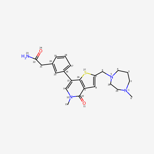 CN1CCCN(Cc2cc3c(=O)n(C)cc(-c4cccc(CC(N)=O)c4)c3s2)CC1